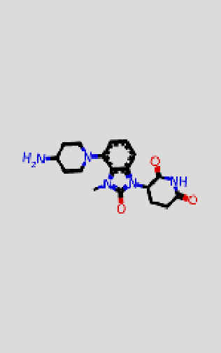 Cn1c(=O)n(C2CCC(=O)NC2=O)c2cccc(N3CCC(N)CC3)c21